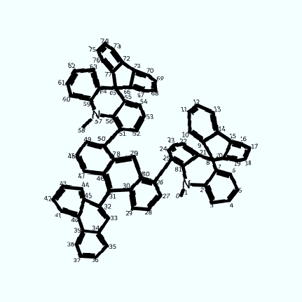 CN1c2ccccc2C2(c3ccccc3-c3ccccc32)c2cccc(-c3cccc4c(-c5cc6ccccc6c6ccccc56)c5cccc(-c6cccc7c6N(C)c6ccccc6C76c7ccccc7-c7ccccc76)c5cc34)c21